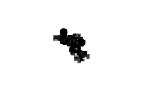 CCCCC1(CC)CN(c2ccccc2)c2cc(OC(C)C)c(OCC(=O)N[C@@H](C(=O)O)c3ccccc3)cc2S(=O)(=O)C1